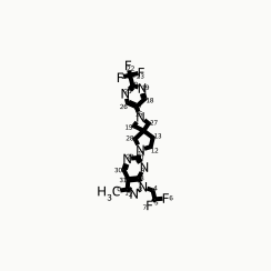 Cc1nn(CC(F)F)c2nc(N3CCC4(CN(c5cnc(C(F)(F)F)nc5)C4)C3)ncc12